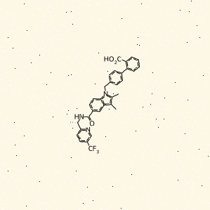 Cc1c(C)n(Cc2ccc(-c3ccccc3C(=O)O)cc2)c2ccc(C(=O)N[C@@H](C)c3ccc(C(F)(F)F)cn3)cc12